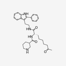 CC(=O)CCCCC[C@H](NC(=O)C1CCCNC1)C(=O)NCCc1c(-c2ccccc2)[nH]c2ccccc12